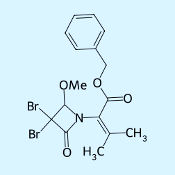 COC1N(C(C(=O)OCc2ccccc2)=C(C)C)C(=O)C1(Br)Br